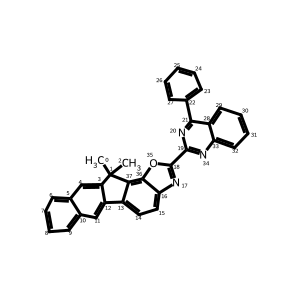 CC1(C)c2cc3ccccc3cc2-c2ccc3nc(-c4nc(-c5ccccc5)c5ccccc5n4)oc3c21